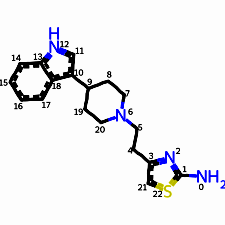 Nc1nc(CCN2CCC(c3c[nH]c4ccccc34)CC2)cs1